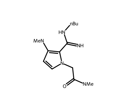 CCCCNC(=N)c1c(NC)ccn1CC(=O)NC